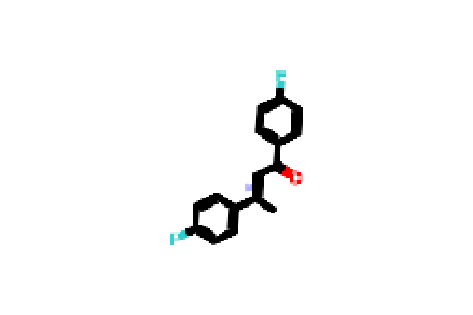 C/C(=C\C(=O)c1ccc(F)cc1)c1ccc(F)cc1